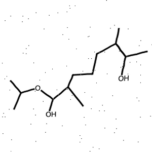 CC(C)OC(O)C(C)CCCC(C)C(C)O